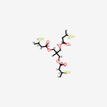 CC(S)CC(=O)OCC(C)(COC(=O)CC(C)S)COC(=O)CC(C)S